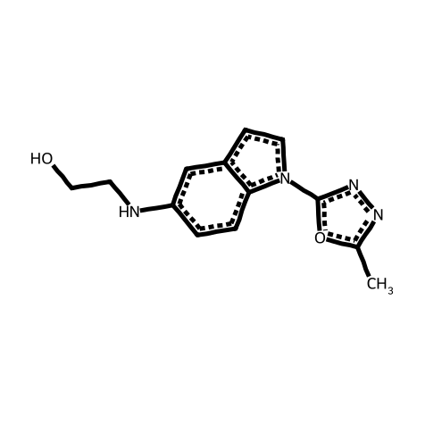 Cc1nnc(-n2ccc3cc(NCCO)ccc32)o1